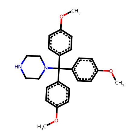 COc1ccc(C(c2ccc(OC)cc2)(c2ccc(OC)cc2)N2CCNCC2)cc1